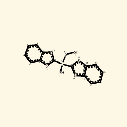 SSS(S)(c1nc2ccccc2s1)c1nc2ccccc2s1